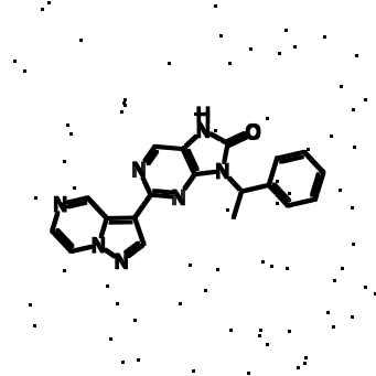 CC(c1ccccc1)n1c(=O)[nH]c2cnc(-c3cnn4ccncc34)nc21